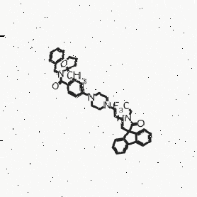 CC1(N(Cc2ccccc2)C(=O)c2ccc(N3CCN(CCCCC4(C(=O)NCC(F)(F)F)c5ccccc5-c5ccccc54)CC3)cc2)CCCO1